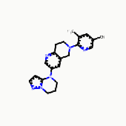 Cc1cc(C#N)cnc1N1CCc2ncc(N3CCCn4nccc43)cc2C1